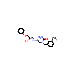 Cc1cccc(CN(CCNCC(O)COc2ccccc2)C(N)=O)c1